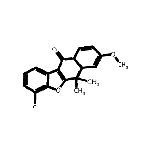 COC1=CC2C(C=C1)C(=O)c1c(oc3c(F)cccc13)C2(C)C